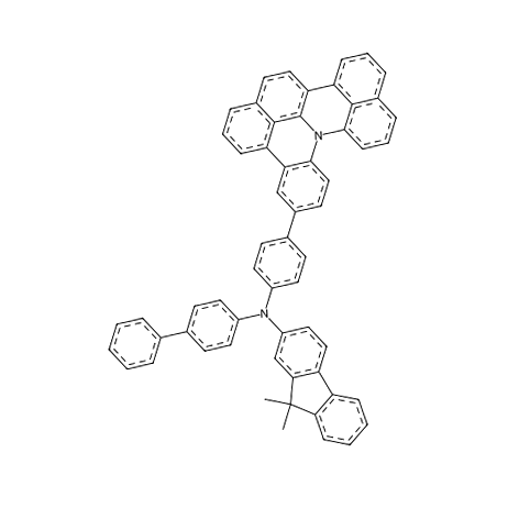 CC1(C)c2ccccc2-c2ccc(N(c3ccc(-c4ccccc4)cc3)c3ccc(-c4ccc5c(c4)-c4cccc6ccc7c(c46)N5c4cccc5cccc-7c45)cc3)cc21